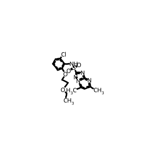 CCOCCOc1cccc(Cl)c1NS(=O)(=O)c1nc2nc(C)cc(C)n2n1